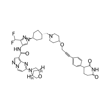 O=C1CCC(c2ccc(C#CCOC3CCN(C[C@H]4CC[C@H](n5cc(NC(=O)c6cnn7ccc(N8C[C@H]9C[C@@H]8CO9)nc67)c(C(F)F)n5)CC4)CC3)cc2)C(=O)N1